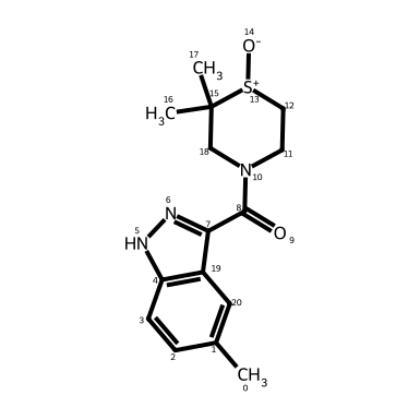 Cc1ccc2[nH]nc(C(=O)N3CC[S+]([O-])C(C)(C)C3)c2c1